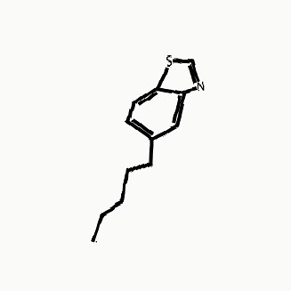 [CH2]CCCCc1ccc2scnc2c1